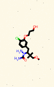 COCC(C)(C)C(Cc1ccc(Cl)c(OCCCO)c1)N(N)C(N)=O